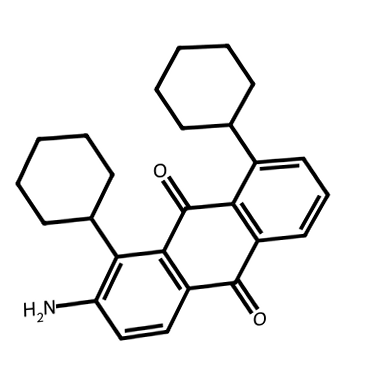 Nc1ccc2c(c1C1CCCCC1)C(=O)c1c(cccc1C1CCCCC1)C2=O